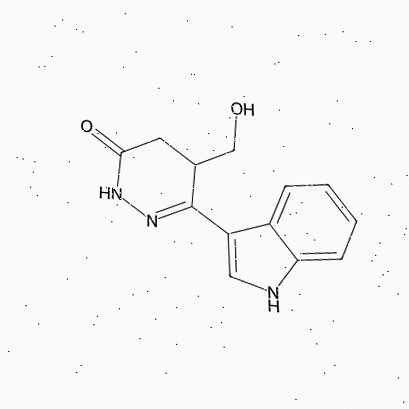 O=C1CC(CO)C(c2c[nH]c3ccccc23)=NN1